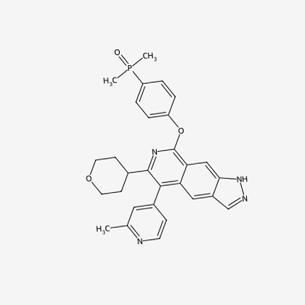 Cc1cc(-c2c(C3CCOCC3)nc(Oc3ccc(P(C)(C)=O)cc3)c3cc4[nH]ncc4cc23)ccn1